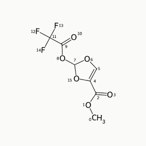 COC(=O)C1=COC(OC(=O)C(F)(F)F)O1